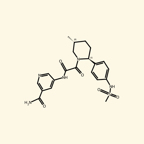 C[C@@H]1CC[C@@H](c2ccc(NS(C)(=O)=O)cc2)N(C(=O)C(=O)Nc2cncc(C(N)=O)c2)C1